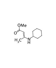 COC(=O)C=C(C)NC1CCCCC1